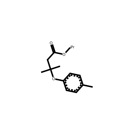 Cc1ccc(OC(C)(C)CC(=O)OC(C)C)cc1